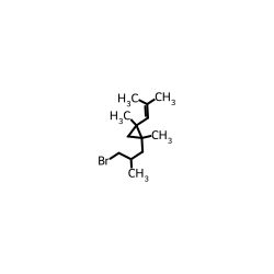 CC(C)=CC1(C)CC1(C)CC(C)CBr